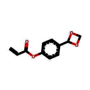 C=CC(=O)Oc1ccc(C2OCO2)cc1